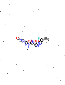 Cn1nc(-c2ccnc(-n3ncc4cc(C(C)(C)C)cc(F)c4c3=O)c2CO)cc(Nc2ccc(N3CCN(C4COC4)CC3)cn2)c1=O